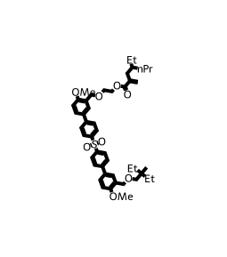 C=C(CC(CC)CCC)C(=O)OCCOCc1cc(-c2ccc(S(=O)(=O)c3ccc(-c4ccc(OC)c(COCC(C)(CC)CC)c4)cc3)cc2)ccc1OC